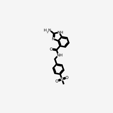 CS(=O)(=O)c1ccc(CNC(=O)c2cccc3[nH]c(N)nc23)cc1